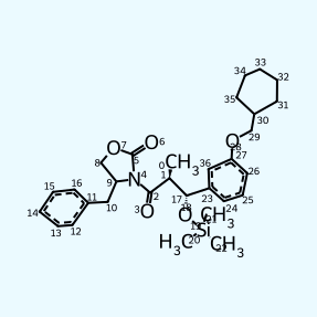 C[C@H](C(=O)N1C(=O)OCC1Cc1ccccc1)[C@@H](O[Si](C)(C)C)c1cccc(OCC2CCCCC2)c1